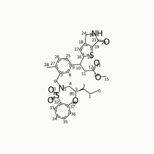 CCC[C@@H]1CN(Cc2cc(C(CC(=O)OC)c3cc4c(s3)C(=O)NC4)ccc2C)S(=O)(=O)c2ccccc2O1